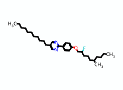 CCCCCCCCCCCc1cnc(-c2ccc(OCC(F)CCCC(C)CCCC)cc2)nc1